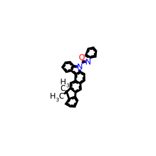 CC1(C)c2ccccc2-c2cc3ccc4c(c3cc21)c1ccccc1n4-c1nc2ccccc2o1